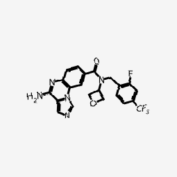 Nc1nc2ccc(C(=O)N(Cc3ccc(C(F)(F)F)cc3F)C3COC3)cc2n2cncc12